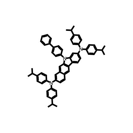 CC(C)c1ccc(N(c2ccc(C(C)C)cc2)c2ccc3cc4c5ccc(N(c6ccc(C(C)C)cc6)c6ccc(C(C)C)cc6)cc5n(-c5ccc(-c6ccccc6)cc5)c4cc3c2)cc1